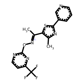 C/C(=N\Oc1nccc(C(F)(F)F)n1)c1sc(-c2cccnc2)nc1C